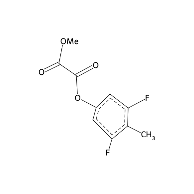 COC(=O)C(=O)Oc1cc(F)c(C)c(F)c1